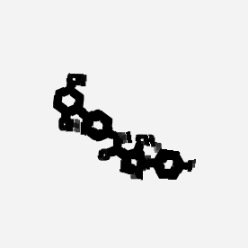 Cc1c(C(=O)Nc2ccc(C3CC(C#N)CCC3O)nc2)cnn1-c1ccc(F)cc1